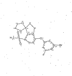 CS(=O)(=O)c1ccc(Oc2cc(F)cc(Br)c2)c2c1C1(CC2)OCCO1